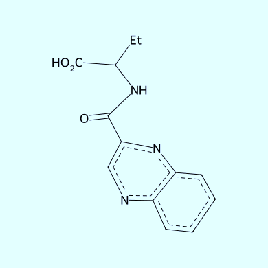 CCC(NC(=O)c1cnc2ccccc2n1)C(=O)O